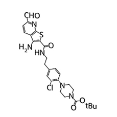 CC(C)(C)OC(=O)N1CCN(c2ccc(CCNC(=O)c3sc4nc(C=O)ccc4c3N)cc2Cl)CC1